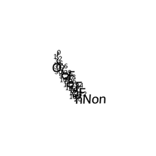 C=CCCC1CCC(c2ccc(-c3ccc(-c4ccc(CCCCCCCCC)c(F)c4F)cc3)c(F)c2)CO1